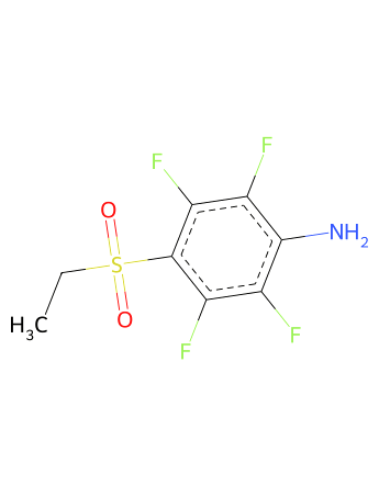 CCS(=O)(=O)c1c(F)c(F)c(N)c(F)c1F